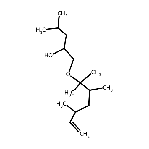 C=CC(C)CC(C)C(C)(C)OCC(O)CC(C)C